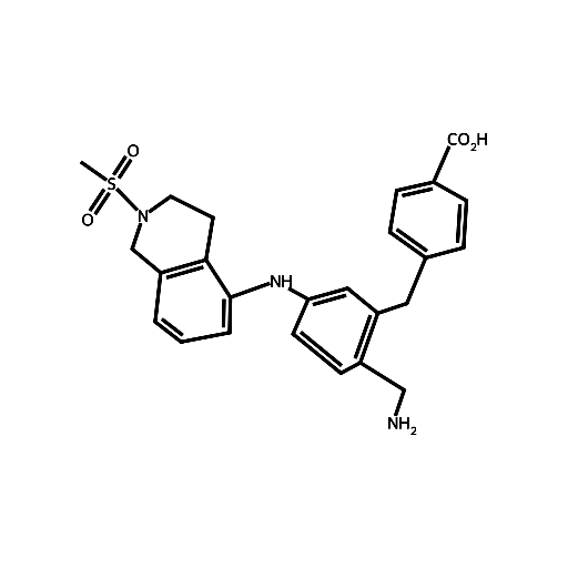 CS(=O)(=O)N1CCc2c(cccc2Nc2ccc(CN)c(Cc3ccc(C(=O)O)cc3)c2)C1